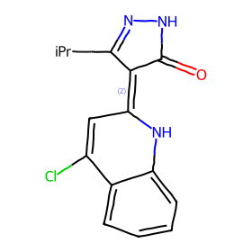 CC(C)C1=NNC(=O)/C1=C1/C=C(Cl)c2ccccc2N1